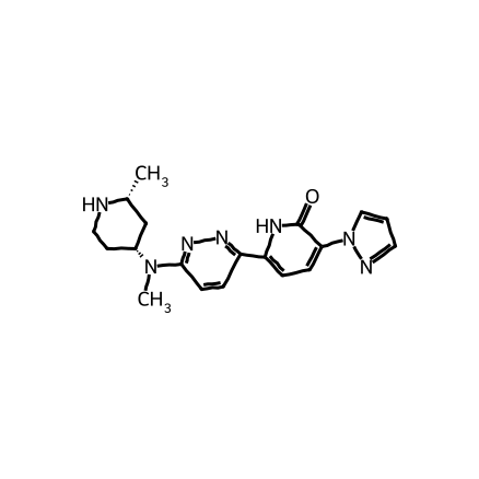 C[C@@H]1C[C@H](N(C)c2ccc(-c3ccc(-n4cccn4)c(=O)[nH]3)nn2)CCN1